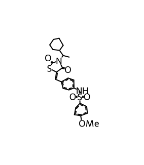 COc1ccc(S(=O)(=O)Nc2ccc(C=C3SC(=O)N(C(C)C4CCCCC4)C3=O)cc2)cc1